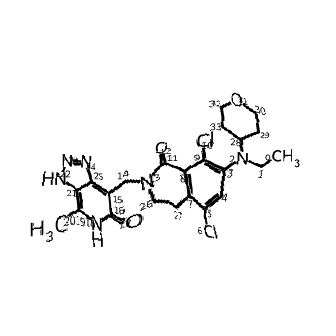 CCN(c1cc(Cl)c2c(c1Cl)C(=O)N(Cc1c(=O)[nH]c(C)c3[nH]nnc13)CC2)C1CCOCC1